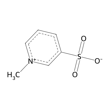 C[n+]1cccc(S(=O)(=O)[O-])c1